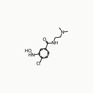 CN(C)CCNC(=O)c1ccc(Cl)c(NO)c1